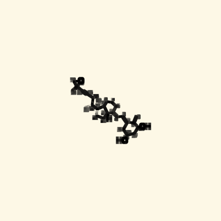 C=C1/C(=C/C=C2\CCC[C@]3(C)[C@@H]([C@H](C)CC#CC4(C)CO4)CC[C@@H]23)C[C@@H](O)C[C@@H]1O